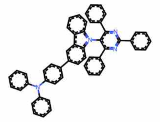 c1ccc(-c2nc(-c3ccccc3)c(-n3c4ccccc4c4cc(-c5ccc(N(c6ccccc6)c6ccccc6)cc5)ccc43)c(-c3ccccc3)n2)cc1